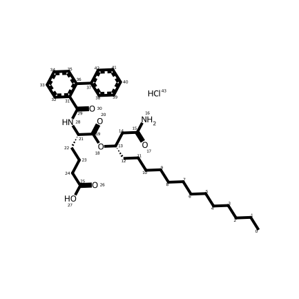 CCCCCCCCCCCCC[C@@H](CC(N)=O)OC(=O)[C@H](CCCC(=O)O)NC(=O)c1ccccc1-c1ccccc1.Cl